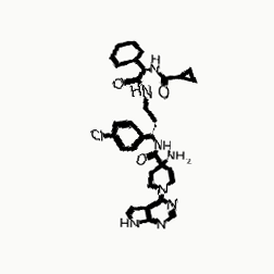 NC1(C(=O)N[C@@H](CCNC(=O)[C@H](NC(=O)C2CC2)C2CCCCC2)c2ccc(Cl)cc2)CCN(c2ncnc3[nH]ccc23)CC1